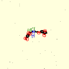 Cl.O=c1ccoc2ccc(OCCCNCC3COc4cc5c(cc4O3)OCO5)cc12